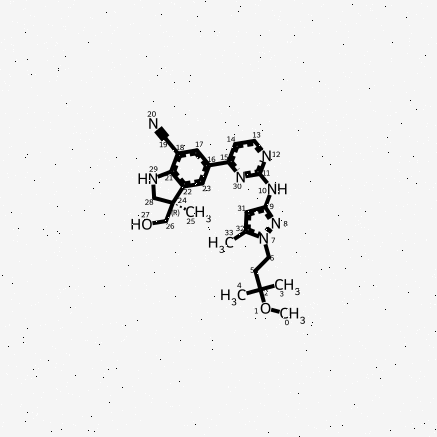 COC(C)(C)CCn1nc(Nc2nccc(-c3cc(C#N)c4c(c3)[C@@](C)(CO)CN4)n2)cc1C